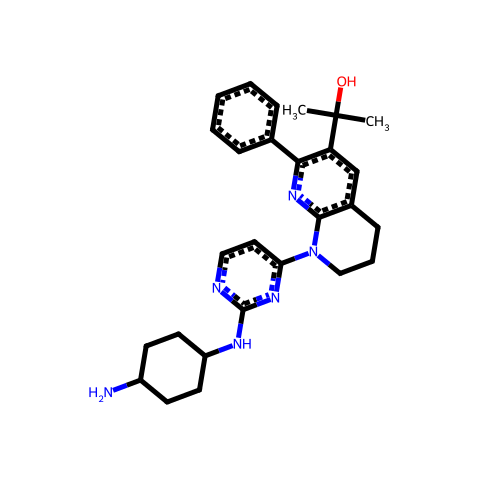 CC(C)(O)c1cc2c(nc1-c1ccccc1)N(c1ccnc(NC3CCC(N)CC3)n1)CCC2